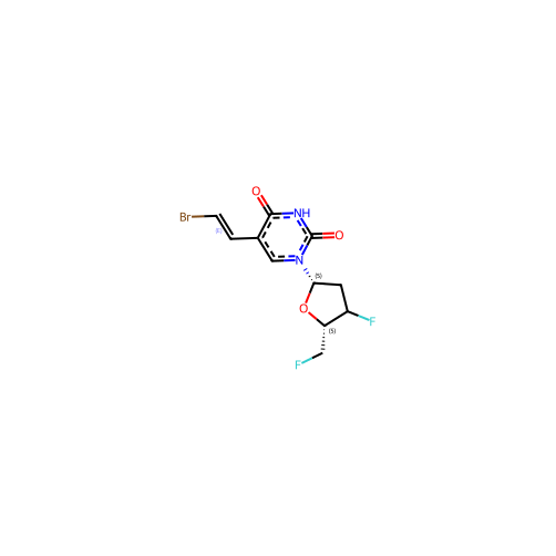 O=c1[nH]c(=O)n([C@@H]2CC(F)[C@H](CF)O2)cc1/C=C/Br